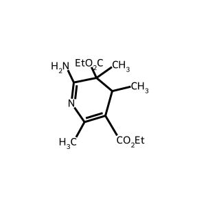 CCOC(=O)C1=C(C)N=C(N)C(C)(C(=O)OCC)C1C